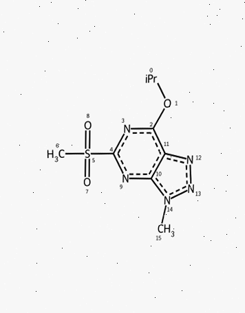 CC(C)Oc1nc(S(C)(=O)=O)nc2c1nnn2C